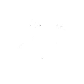 CCC(=CN)C(=O)OC